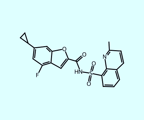 Cc1ccc2cccc(S(=O)(=O)NC(=O)c3cc4c(F)cc(C5CC5)cc4o3)c2n1